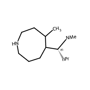 CCC[C@@H](NC)C1CCCNCCC1C